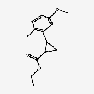 CCOC(=O)C1CC1c1cc(OC)ccc1F